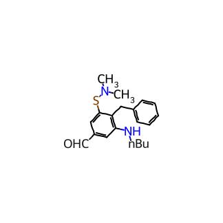 CCCCNc1cc(C=O)cc(SN(C)C)c1Cc1ccccc1